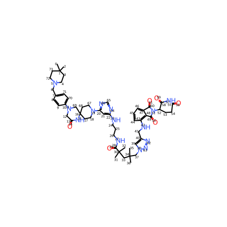 CC1(C)CCN(Cc2ccc(N3CC(=O)NC4(CCN(c5cc(NCCCNC(=O)C(C)(C)CC(C)(C)Cn6cc(CNc7cccc8c7C(=O)N(C7CCC(=O)NC7=O)C8=O)nn6)ncn5)CC4)C3)cc2)CC1